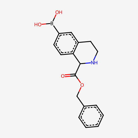 O=C(OCc1ccccc1)C1NCCc2cc(B(O)O)ccc21